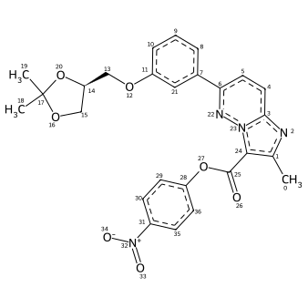 Cc1nc2ccc(-c3cccc(OC[C@H]4COC(C)(C)O4)c3)nn2c1C(=O)Oc1ccc([N+](=O)[O-])cc1